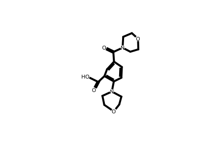 O=C(O)c1cc(C(=O)N2CCOCC2)ccc1N1CCOCC1